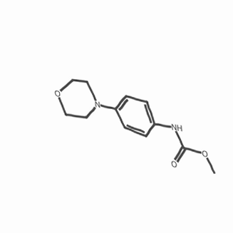 COC(=O)Nc1ccc(N2CCOCC2)cc1